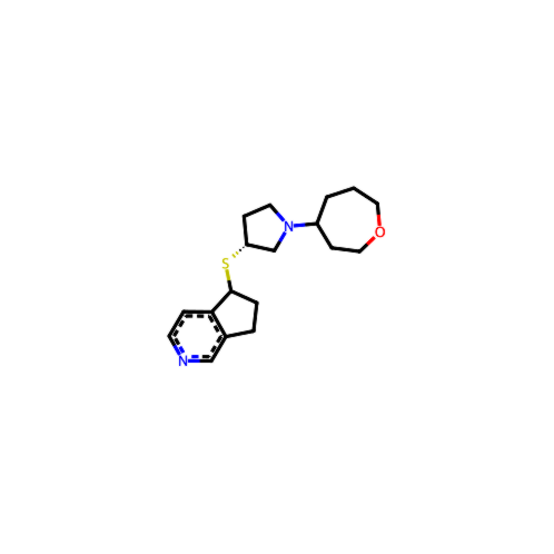 c1cc2c(cn1)CCC2S[C@@H]1CCN(C2CCCOCC2)C1